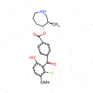 COc1ccc(O)c(C(=O)c2ccc(C(=O)O[C@@H]3CCCNC[C@H]3C)cc2)c1F